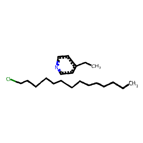 CCCCCCCCCCCCCCCl.CCc1ccncc1